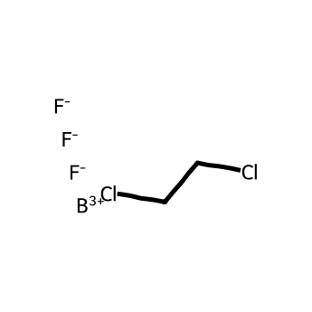 ClCCCl.[B+3].[F-].[F-].[F-]